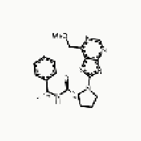 COCc1ncnc2nc(N3CCC[C@@H]3C(=O)N[C@H](C)c3ccccc3)sc12